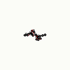 c1ccc(-c2ccc(-c3ccc(-c4nc(-c5cccc(-c6cccc(-c7nc(-c8ccc9c(ccc%10c%11ccccc%11oc9%10)c8)nc(-c8cccc9oc%10ccccc%10c89)n7)c6)c5)nc(-c5cccc6ccc7c8ccccc8oc7c56)n4)cc3)cc2)cc1